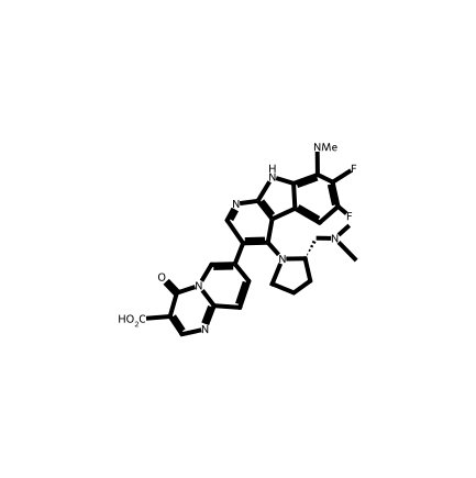 CNc1c(F)c(F)cc2c1[nH]c1ncc(-c3ccc4ncc(C(=O)O)c(=O)n4c3)c(N3CCC[C@H]3CN(C)C)c12